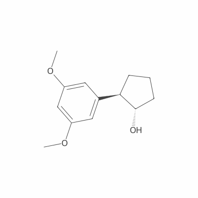 COc1cc(OC)cc([C@H]2CCC[C@@H]2O)c1